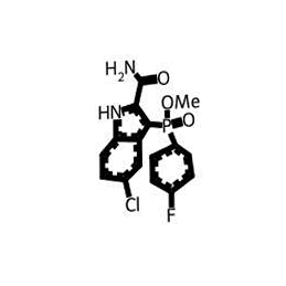 COP(=O)(c1ccc(F)cc1)c1c(C(N)=O)[nH]c2ccc(Cl)cc12